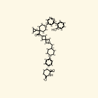 O=C1CC[C@H](c2ccc(N3CCC(CN4CC5(C4)CN(C(=O)C4(C6CC6)CCN(c6cnnc(-c7ccccc7O)c6)CC4)C5)CC3)cc2)C(=O)N1